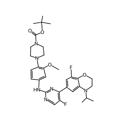 COc1cc(Nc2ncc(F)c(-c3cc(F)c4c(c3)N(C(C)C)CCO4)n2)ccc1N1CCN(C(=O)OC(C)(C)C)CC1